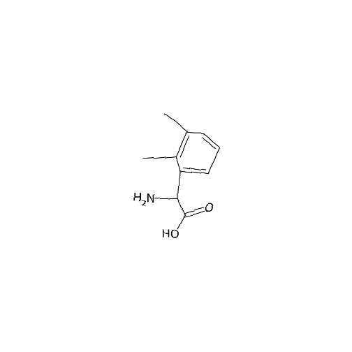 Cc1cccc(C(N)C(=O)O)c1C